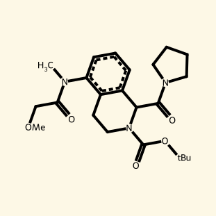 COCC(=O)N(C)c1cccc2c1CCN(C(=O)OC(C)(C)C)C2C(=O)N1CCCC1